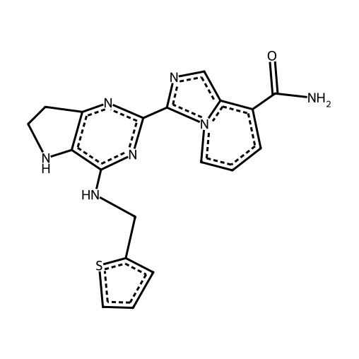 NC(=O)c1cccn2c(-c3nc4c(c(NCc5cccs5)n3)NCC4)ncc12